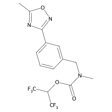 Cc1nc(-c2cccc(CN(C)C(=O)OC(C(F)(F)F)C(F)(F)F)c2)no1